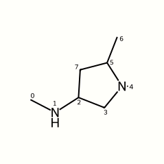 CNC1C[N]C(C)C1